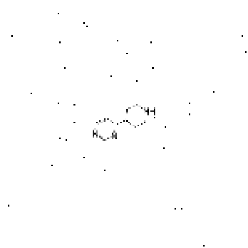 [c]1nccc(C2CCNCC2)n1